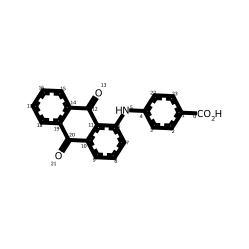 O=C(O)c1ccc(Nc2cccc3c2C(=O)c2ccccc2C3=O)cc1